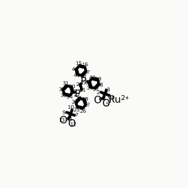 CC(C)(C)C(=O)[O-].CC(C)(C)C(=O)[O-].[Ru+2].c1ccc(P(CCP(c2ccccc2)c2ccccc2)c2ccccc2)cc1